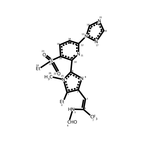 CCc1c(/C=C(\NC=O)C(F)(F)F)nc(-c2nc(-n3cncn3)ccc2S(=O)(=O)CC)n1C